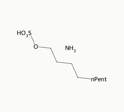 CCCCCCCCCOS(=O)(=O)O.N